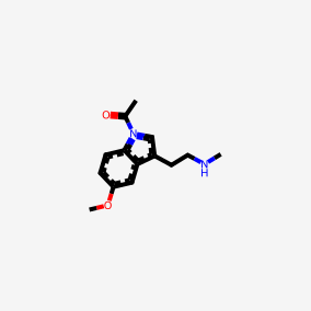 CNCCc1cn(C(C)=O)c2ccc(OC)cc12